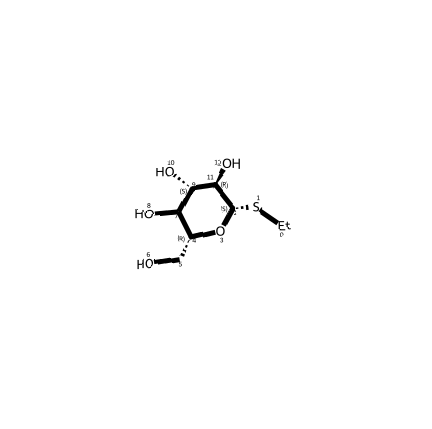 CCS[C@@H]1O[C@H](CO)C(O)[C@H](O)[C@H]1O